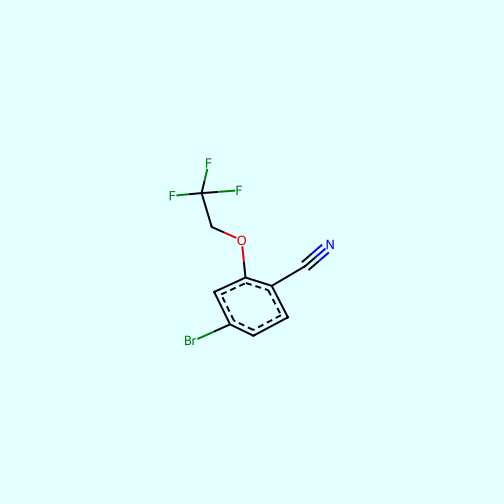 N#Cc1ccc(Br)cc1OCC(F)(F)F